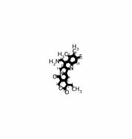 CCC1C(=O)OCc2c1cc1n(c2=O)Cc2c-1nc1cc(F)c(C)c(C)c1c2CN